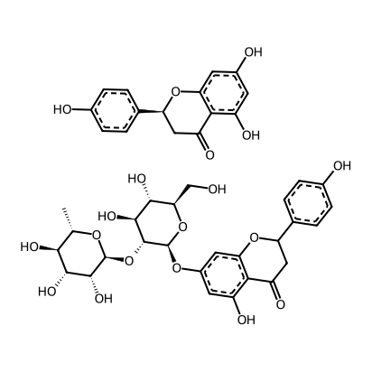 C[C@@H]1O[C@@H](O[C@H]2[C@H](Oc3cc(O)c4c(c3)OC(c3ccc(O)cc3)CC4=O)O[C@H](CO)[C@@H](O)[C@@H]2O)[C@H](O)[C@H](O)[C@H]1O.O=C1C[C@@H](c2ccc(O)cc2)Oc2cc(O)cc(O)c21